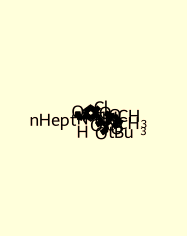 CCCCCCCC(=O)Nc1ccc(Cl)c(NC(=O)C(C(=O)C(C)(C)C)N2C(=O)OC(C)(C)C2=O)c1